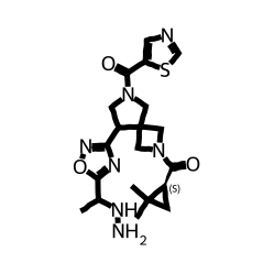 CC(NN)c1nc(C2CN(C(=O)c3cncs3)CC23CN(C(=O)[C@H]2CC2(C)C)C3)no1